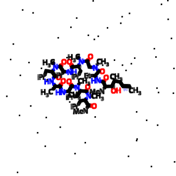 C/C=C/C[C@@H](C)[C@@H](O)C(NC)C(=O)NC(CC)C(=O)N(C)CC(=O)N(C)[C@@H](CC(C)C)C(=O)NC(C(=O)N(C)C(CC(C)C)C(=O)NC(C)C(=O)NC(C)C(=O)N(C)C(CC(C)C)C(=O)N(C)C(CC(C)C)C(=O)NC)C(C)C